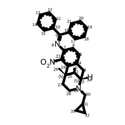 CC1[C@@H]2Cc3ccc(N=C(c4ccccc4)c4ccccc4)c([N+](=O)[O-])c3[C@@]1(C)CCN2CC1CC1